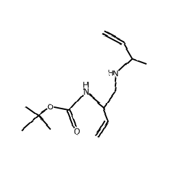 C=CC(C)NCC(C=C)NC(=O)OC(C)(C)C